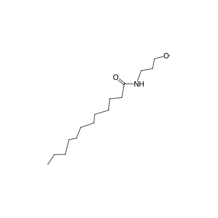 CCCCCCCCCCCC(=O)NCCC[O]